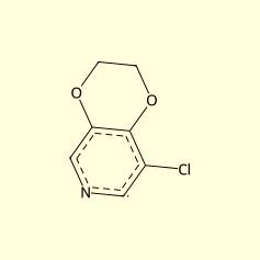 Clc1[c]ncc2c1OCCO2